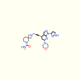 CNC(=O)N1CCCC2(CN(CC#Cc3cc(N4CCOC[C@H]4C)nc4c3cnn4-c3cc[nH]n3)C2)C1